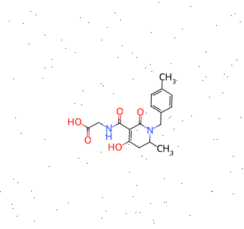 Cc1ccc(CN2C(=O)C(C(=O)NCC(=O)O)=C(O)CC2C)cc1